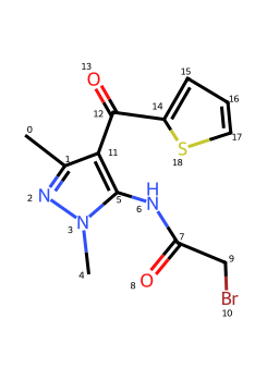 Cc1nn(C)c(NC(=O)CBr)c1C(=O)c1cccs1